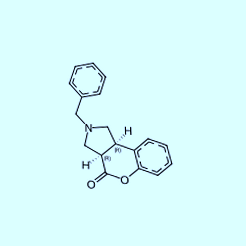 O=C1Oc2ccccc2[C@@H]2CN(Cc3ccccc3)C[C@H]12